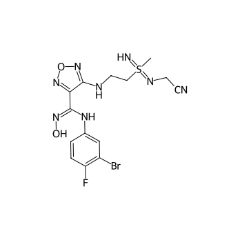 CS(=N)(CCNc1nonc1/C(=N/O)Nc1ccc(F)c(Br)c1)=NCC#N